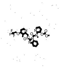 COC(=O)Oc1cccnc1N(C)C(=O)n1c([S+]([O-])Cc2nccc(OCC(F)(F)F)c2C)nc2ccccc21